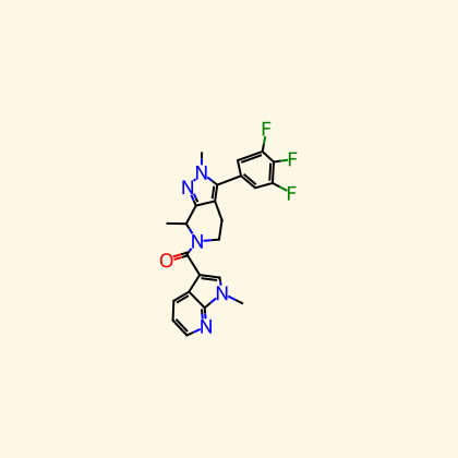 CC1c2nn(C)c(-c3cc(F)c(F)c(F)c3)c2CCN1C(=O)c1cn(C)c2ncccc12